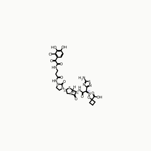 Nc1nc(/C(=N/OC2(C(=O)O)CCC2)C(=O)N[C@@H]2C(=O)N3C[C@H](N4CCN(NC(=O)CCNC(=O)C(=O)c5ccc(O)c(O)c5Cl)C4=O)S[C@H]23)ns1